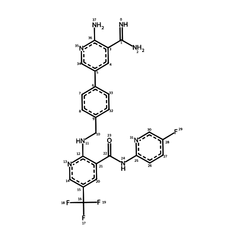 N=C(N)c1cc(-c2ccc(CNc3ncc(C(F)(F)F)cc3C(=O)Nc3ccc(F)cn3)cc2)cnc1N